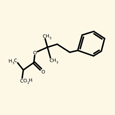 CC(C(=O)O)C(=O)OC(C)(C)CCc1ccccc1